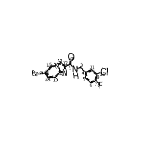 O=C(NCc1ccc(F)c(Cl)c1)c1cn2cc(Br)ccc2n1